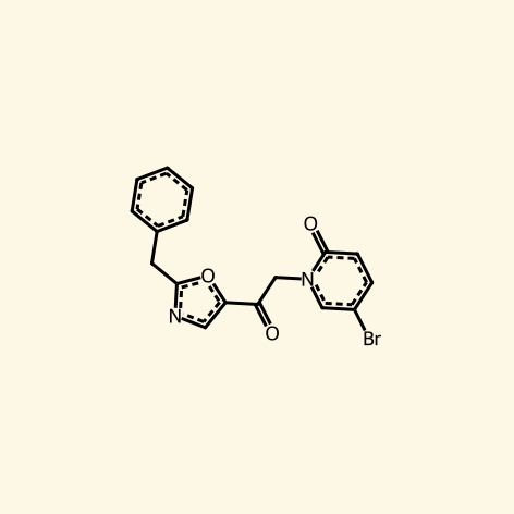 O=C(Cn1cc(Br)ccc1=O)c1cnc(Cc2ccccc2)o1